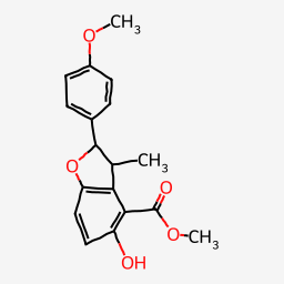 COC(=O)c1c(O)ccc2c1C(C)C(c1ccc(OC)cc1)O2